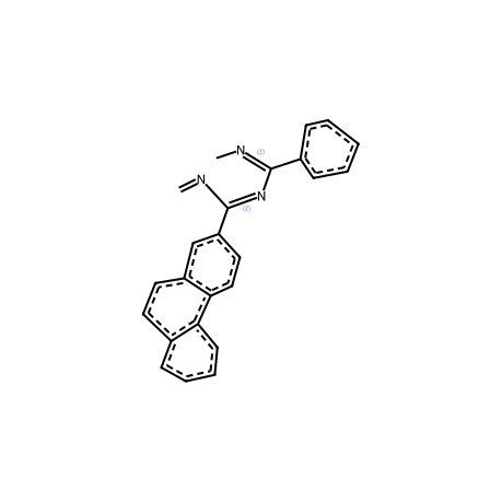 C=N/C(=N\C(=N/C)c1ccccc1)c1ccc2c(ccc3ccccc32)c1